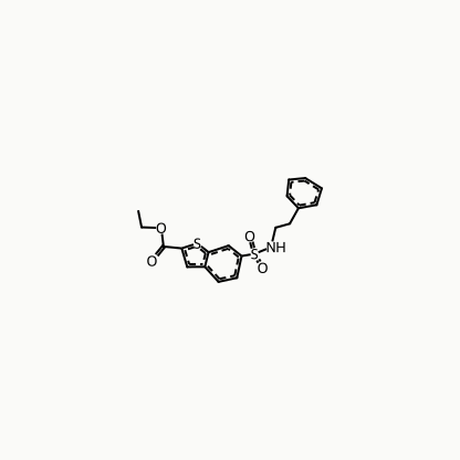 CCOC(=O)c1cc2ccc(S(=O)(=O)NCCc3ccccc3)cc2s1